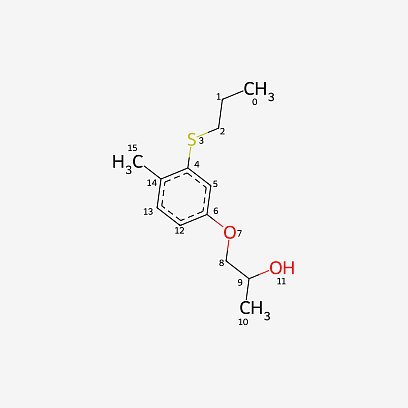 CCCSc1cc(OCC(C)O)ccc1C